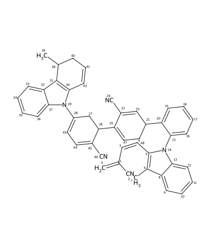 C=C(C#N)/C=C\c1c(C)c2ccccc2n1-c1ccccc1C1C=C(C#N)C(C2CC(n3c4c(c5ccccc53)C(C)CC=C4)=CC=C2C#N)=CC1